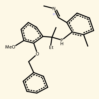 CCC(C)(Pc1c(C)cccc1/C=N/C)c1cccc(OC)c1OCc1ccccc1